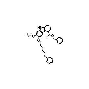 COc1cc2[nH]c3c(c2cc1OCCCCCCc1ccccc1)C(C(=O)OCc1ccccc1)CCC3